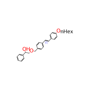 CCCCCCOc1ccc(/C=C/c2ccc(COCC(O)c3ccccc3)cc2)cc1